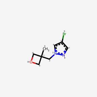 CC1(Cn2cc(Br)cn2)COC1